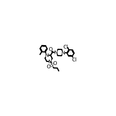 CCCS(=O)(=O)N1CCN(c2ccccc2C)C(C(=O)N2CCN(c3cc(Cl)ccc3Cl)CC2)C1